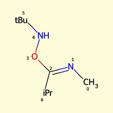 CN=C(ONC(C)(C)C)C(C)C